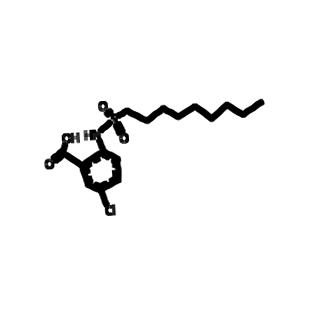 CCCCCCCCCS(=O)(=O)Nc1ccc(Cl)cc1C(=O)O